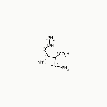 CCC[C@H](OPP)C(NP)C(=O)O